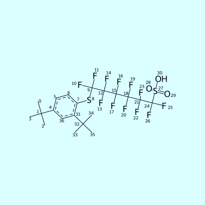 CC(C)(C)c1ccc(SC(F)(F)C(F)(F)C(F)(F)C(F)(F)C(F)(F)C(F)(F)S(=O)(=O)O)c(C(C)(C)C)c1